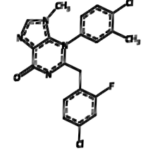 Cc1cc(-n2c(Cc3ccc(Cl)cc3F)nc(=O)c3ncn(C)c32)ccc1Cl